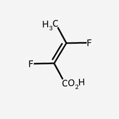 CC(F)=C(F)C(=O)O